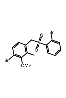 COc1c(Br)ccc(CS(=O)(=O)c2ccccc2Br)c1C